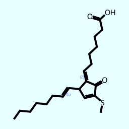 CCCCCC/C=C/C1C=C(SC)C(=O)/C1=C\CCCCCC(=O)O